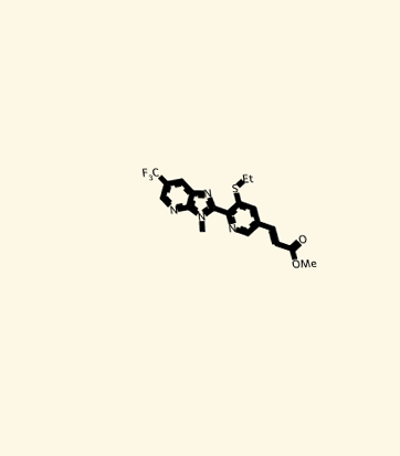 CCSc1cc(C=CC(=O)OC)cnc1-c1nc2cc(C(F)(F)F)cnc2n1C